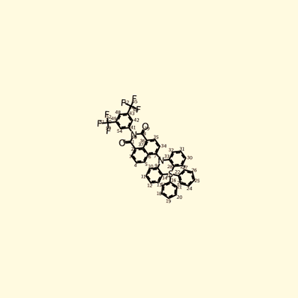 O=C1c2cccc3c(N4c5ccccc5S(c5ccccc5)(c5ccccc5)c5ccccc54)ccc(c23)C(=O)N1c1cc(C(F)(F)F)cc(C(F)(F)F)c1